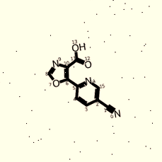 N#Cc1ccc(-c2ocnc2C(=O)O)nc1